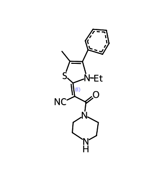 CCN1C(c2ccccc2)=C(C)S/C1=C(\C#N)C(=O)N1CCNCC1